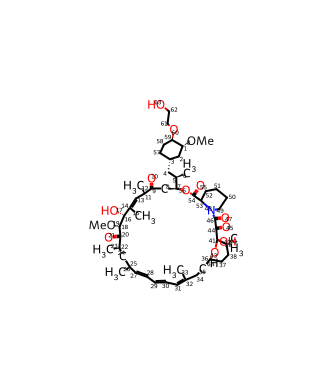 CO[C@@H]1C[C@H](C[C@@H](C)[C@@H]2CC(=O)[C@H](C)/C=C(\C)[C@@H](O)[C@@H](OC)C(=O)[C@H](C)C[C@H](C)/C=C/C=C/C=C(\C)CC[C@@H]3CC[C@@H](C)[C@@](O)(O3)C(=O)C(=O)N3CCCCC3C(=O)O2)CC[C@H]1OCCO